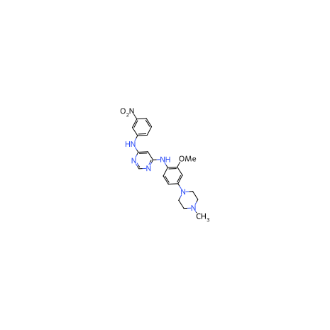 COc1cc(N2CCN(C)CC2)ccc1Nc1cc(Nc2cccc([N+](=O)[O-])c2)ncn1